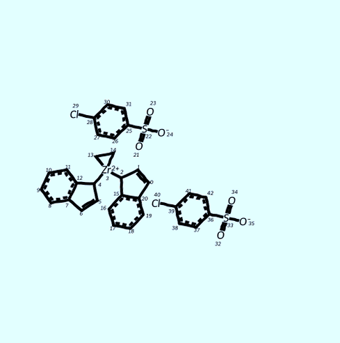 C1=C[CH]([Zr+2]2([CH]3C=Cc4ccccc43)[CH2][CH2]2)c2ccccc21.O=S(=O)([O-])c1ccc(Cl)cc1.O=S(=O)([O-])c1ccc(Cl)cc1